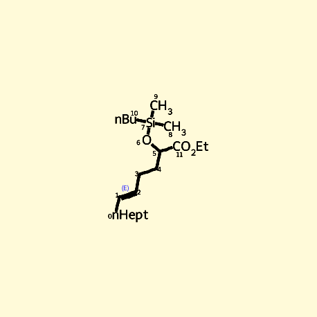 CCCCCCC/C=C/CCC(O[Si](C)(C)CCCC)C(=O)OCC